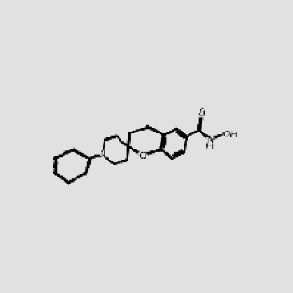 O=C(NO)c1ccc2c(c1)CCC1(CCN(C3CCCCC3)CC1)O2